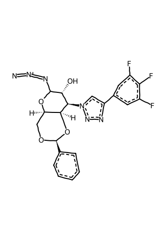 [N-]=[N+]=NC1O[C@@H]2CO[C@H](c3ccccc3)O[C@@H]2[C@H](n2cc(-c3cc(F)c(F)c(F)c3)nn2)[C@H]1O